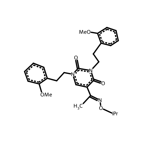 COc1ccccc1CCn1cc(/C(C)=N/OC(C)C)c(=O)n(CCc2ccccc2OC)c1=O